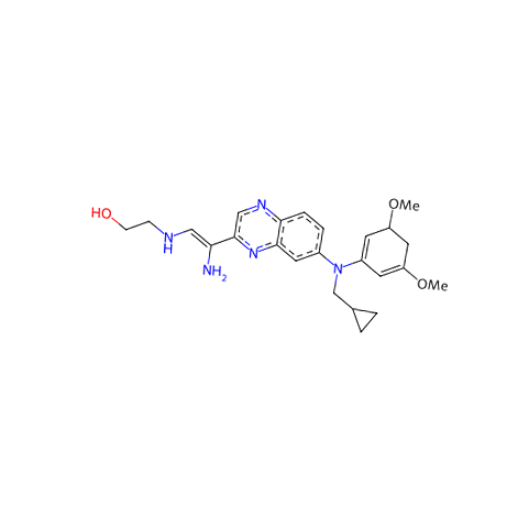 COC1=CC(N(CC2CC2)c2ccc3ncc(/C(N)=C/NCCO)nc3c2)=CC(OC)C1